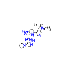 CN(C)c1cncc(-c2ccc3[nH]nc(-c4nc5c(N6CCCCC6)ccnc5[nH]4)c3n2)c1